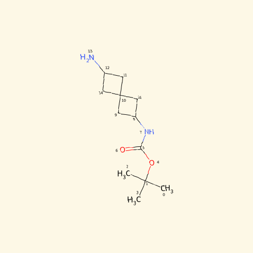 CC(C)(C)OC(=O)NC1CC2(CC(N)C2)C1